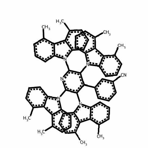 Cc1cccc2c1c1c(C)cccc1n2-c1nc(-n2c3cccc(C)c3c3c(C)cccc32)c(-n2c3cccc(C)c3c3c(C)cccc32)c(-c2cccc(C#N)c2)c1-n1c2cccc(C)c2c2c(C)cccc21